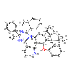 CC1C=CC=CC1C1=NC(C)(c2ccccc2)NC(c2cccnc2-c2cccc3c2Oc2ccccc2C32c3ccccc3-c3ccccc32)=N1